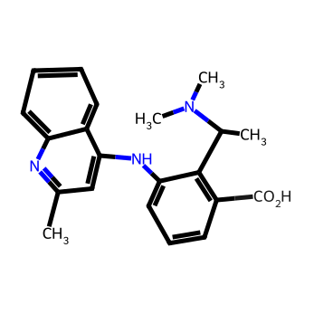 Cc1cc(Nc2cccc(C(=O)O)c2C(C)N(C)C)c2ccccc2n1